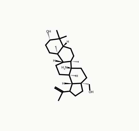 C=C(C)C1CC[C@]2(CO)CC[C@]3(N)[C@H](CC[C@@H]4[C@@]5(C)CC[C@H](O)C(C)(C)[C@@H]5CC[C@]43C)[C@@H]12